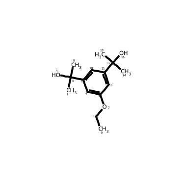 CCOc1cc(C(C)(C)O)cc(C(C)(C)O)c1